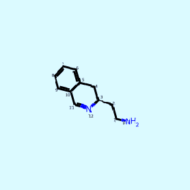 NCC[C@@H]1Cc2ccccc2C=N1